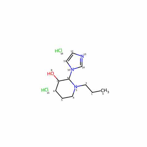 CCCN1CCCC(O)C1n1ccnc1.Cl.Cl